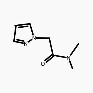 CN(C)C(=O)Cn1c[c]cn1